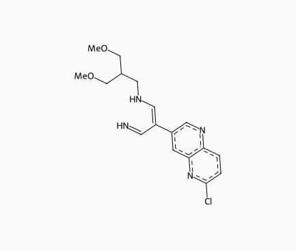 COCC(CN/C=C(\C=N)c1cnc2ccc(Cl)nc2c1)COC